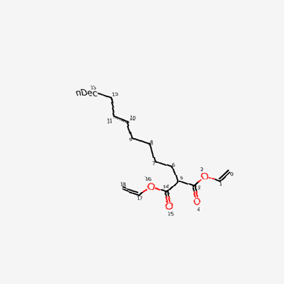 C=COC(=O)C(CCCCCCCCCCCCCCCCC)C(=O)OC=C